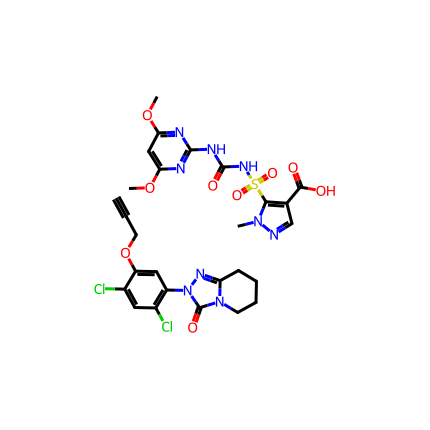 C#CCOc1cc(-n2nc3n(c2=O)CCCC3)c(Cl)cc1Cl.COc1cc(OC)nc(NC(=O)NS(=O)(=O)c2c(C(=O)O)cnn2C)n1